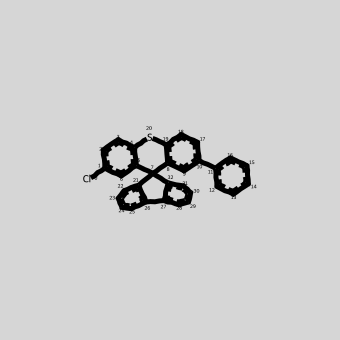 Clc1ccc2c(c1)C1(c3cc(-c4ccccc4)ccc3S2)c2ccccc2-c2ccccc21